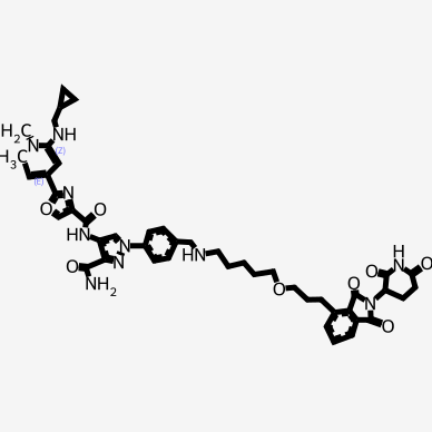 C=N/C(=C\C(=C/C)c1nc(C(=O)Nc2cn(-c3ccc(CNCCCCCOCCCc4cccc5c4C(=O)N(C4CCC(=O)NC4=O)C5=O)cc3)nc2C(N)=O)co1)NCC1CC1